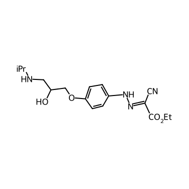 CCOC(=O)C(C#N)=NNc1ccc(OCC(O)CNC(C)C)cc1